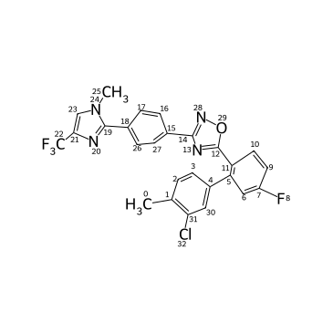 Cc1ccc(-c2cc(F)ccc2-c2nc(-c3ccc(-c4nc(C(F)(F)F)cn4C)cc3)no2)cc1Cl